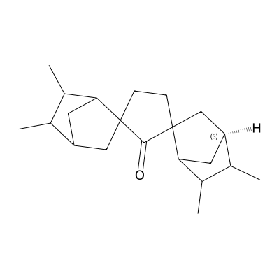 CC1C2CC(C1C)C1(CCC3(C[C@@H]4CC3C(C)C4C)C1=O)C2